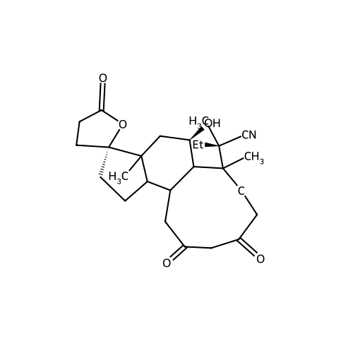 CC[C@@](C)(C#N)C1(C)CCC(=O)CC(=O)CC2C3CC[C@@]4(CCC(=O)O4)C3(C)C[C@@H](O)C21